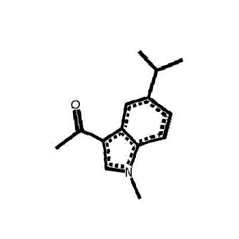 CC(=O)c1cn(C)c2ccc(C(C)C)cc12